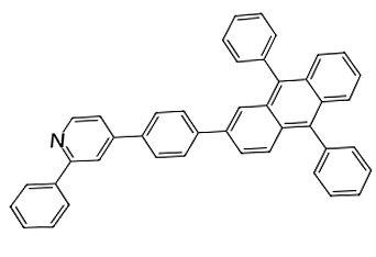 c1ccc(-c2cc(-c3ccc(-c4ccc5c(-c6ccccc6)c6ccccc6c(-c6ccccc6)c5c4)cc3)ccn2)cc1